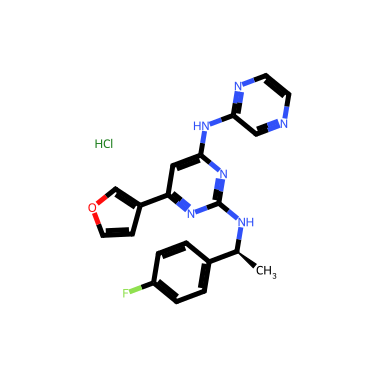 C[C@H](Nc1nc(Nc2cnccn2)cc(-c2ccoc2)n1)c1ccc(F)cc1.Cl